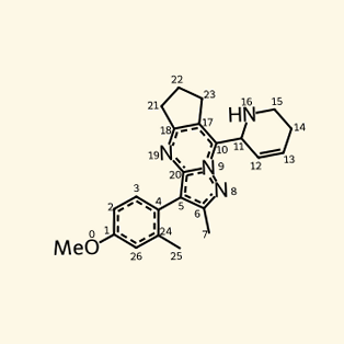 COc1ccc(-c2c(C)nn3c(C4C=CCCN4)c4c(nc23)CCC4)c(C)c1